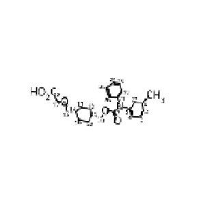 CC1C=CC=C(N(C(=O)OC[C@H]2CC[C@@H](COCC(=O)O)CC2)c2ccccc2)C1